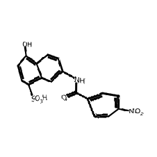 O=C(Nc1ccc2c(O)ccc(S(=O)(=O)O)c2c1)c1ccc([N+](=O)[O-])cc1